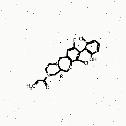 C=CC(=O)N1CCN2Cc3cc(F)c(-c4c(O)cccc4Cl)c(Cl)c3OC[C@H]2C1